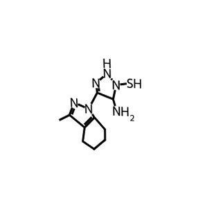 Cc1nn(C2=NNN(S)C2N)c2c1CCCC2